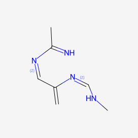 C=C(/C=N\C(C)=N)/N=C\NC